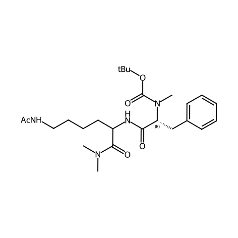 CC(=O)NCCCCC(NC(=O)[C@@H](Cc1ccccc1)N(C)C(=O)OC(C)(C)C)C(=O)N(C)C